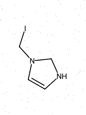 ICN1C=CNC1